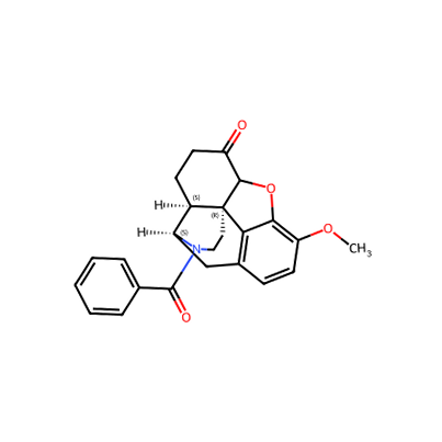 COc1ccc2c3c1OC1C(=O)CC[C@@H]4[C@H](C2)N(C(=O)c2ccccc2)CC[C@@]314